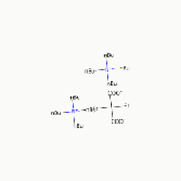 CCC(CC)(C(=O)[O-])C(=O)[O-].CCCC[N+](CCCC)(CCCC)CCCC.CCCC[N+](CCCC)(CCCC)CCCC